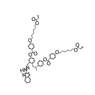 C=CC(=O)OCCCCCCOc1ccc(C(=O)Oc2ccc(C(C)Cc3ccc(OC(=O)c4ccc(OCCCCCCOC(=O)C=C)cc4)cc3/C=N/Nc3nc4ccccc4s3)cc2)cc1